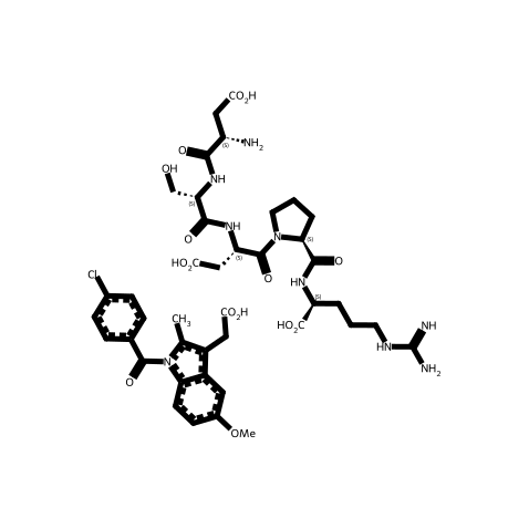 COc1ccc2c(c1)c(CC(=O)O)c(C)n2C(=O)c1ccc(Cl)cc1.N=C(N)NCCC[C@H](NC(=O)[C@@H]1CCCN1C(=O)[C@H](CC(=O)O)NC(=O)[C@H](CO)NC(=O)[C@@H](N)CC(=O)O)C(=O)O